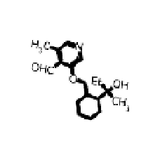 CCC(C)(O)C1CCCCC1COc1cncc(C)c1C=O